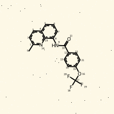 Cc1ccc2cccc(NC(=O)c3ccc(OC(F)(F)F)cc3)c2n1